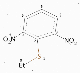 CCSc1c([N+](=O)[O-])cccc1[N+](=O)[O-]